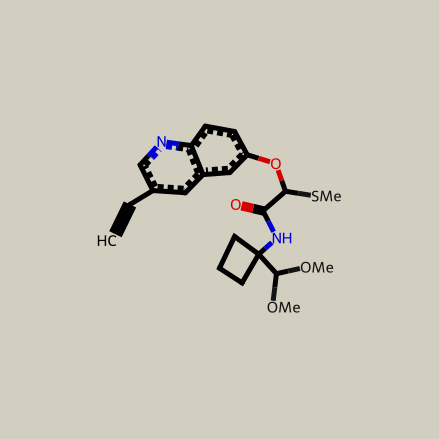 C#Cc1cnc2ccc(OC(SC)C(=O)NC3(C(OC)OC)CCC3)cc2c1